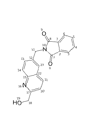 O=C1c2ccccc2C(=O)N1Cc1ccc2nc(CO)ccc2c1